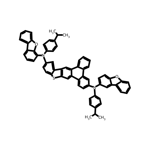 CC(C)c1ccc(N(c2ccc3oc4ccccc4c3c2)c2ccc3c(c2)c2ccccc2c2cc4c(cc32)sc2ccc(N(c3ccc(C(C)C)cc3)c3cccc5c3oc3ccccc35)cc24)cc1